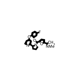 CNC(C)c1ccc(C(=O)N2CCCC2c2cc(Oc3ccc(F)cc3)ccn2)o1